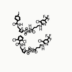 O=C(CCCNc1ncc(C(F)(F)F)cc1Cl)NNS(=O)(=O)c1ccc(CNC(=O)c2c(Cl)cccc2Cl)s1.O=C(CCCNc1ncc(C(F)(F)F)cc1Cl)NNS(=O)(=O)c1ccc(CNC(=O)c2ccc(I)cc2)s1